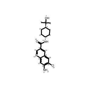 CC(C)(O)[C@H]1CC[C@H](NC(=O)c2cnc3cc(N)c(Cl)cc3c2)CC1